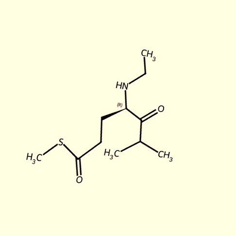 CCN[C@H](CCC(=O)SC)C(=O)C(C)C